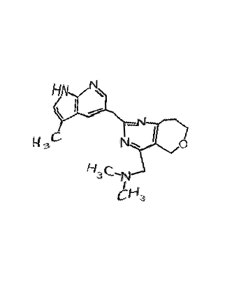 Cc1c[nH]c2ncc(-c3nc4c(c(CN(C)C)n3)COCC4)cc12